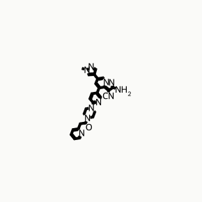 Cn1cc(-c2cc(-c3ccc(N4CCN(C(=O)Cc5ccccn5)CC4)nc3)c3c(C#N)c(N)nn3c2)cn1